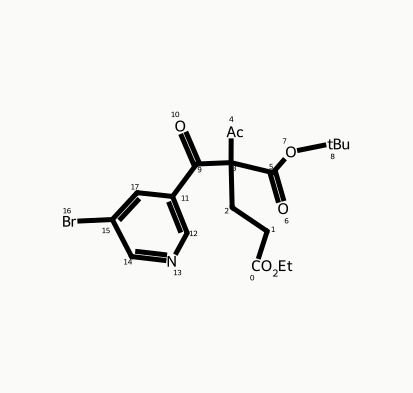 CCOC(=O)CCC(C(C)=O)(C(=O)OC(C)(C)C)C(=O)c1cncc(Br)c1